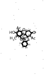 CC(=O)c1c(O)c(C)c(O)c2c1OC1CC(=O)C(C(C)=O)C(O)(Sc3ccccc3)C21C